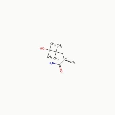 C[C@H](CC(C)(C)[Si](C)(C)O)C(N)=O